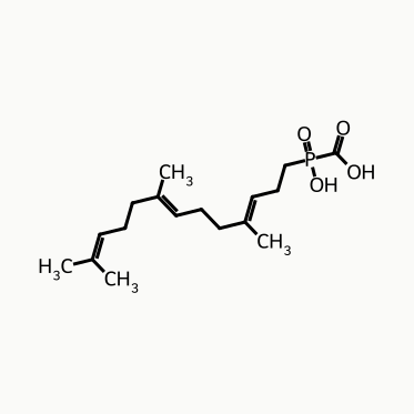 CC(C)=CCCC(C)=CCCC(C)=CCCP(=O)(O)C(=O)O